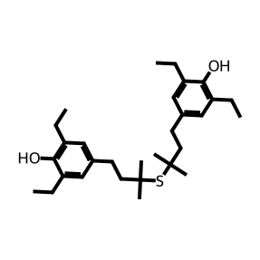 CCc1cc(CCC(C)(C)SC(C)(C)CCc2cc(CC)c(O)c(CC)c2)cc(CC)c1O